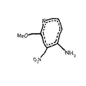 COc1nccc(N)c1[N+](=O)[O-]